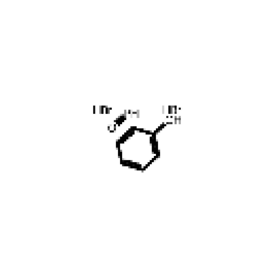 Br.Br.O=P.Oc1ccccc1